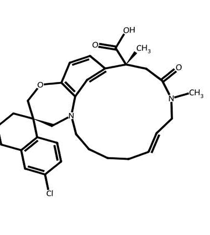 CN1C/C=C/CCCCN2C[C@@]3(CCCc4cc(Cl)ccc43)COc3ccc(cc32)[C@](C)(C(=O)O)CC1=O